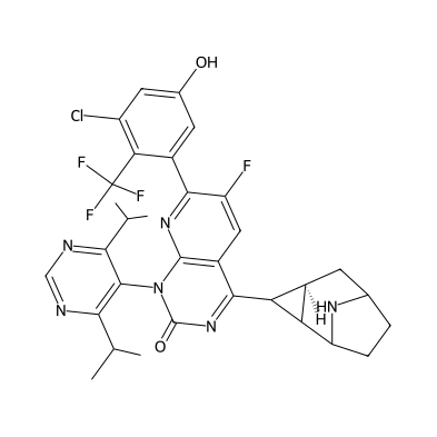 CC(C)c1ncnc(C(C)C)c1-n1c(=O)nc(C2C3C4CCC(C[C@H]23)N4)c2cc(F)c(-c3cc(O)cc(Cl)c3C(F)(F)F)nc21